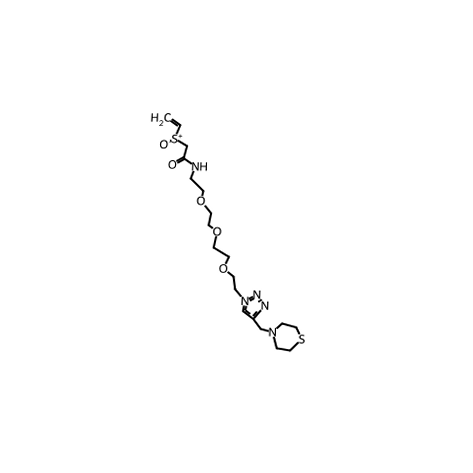 C=C[S+]([O-])CC(=O)NCCOCCOCCOCCn1cc(CN2CCSCC2)nn1